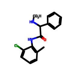 Cc1cccc(Cl)c1NC(=O)C(NC(=O)O)c1ccccc1